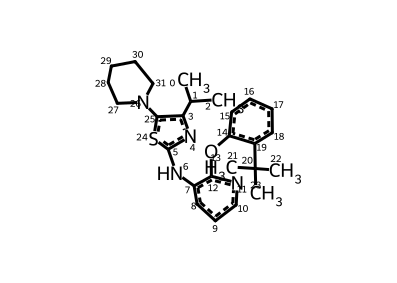 CC(C)c1nc(Nc2cccnc2Oc2ccccc2C(C)(C)C)sc1N1CCCCC1